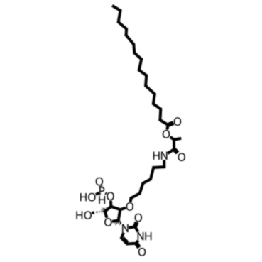 CCCCCCCCCCCCCCCC(=O)OC(C)C(=O)NCCCCCCOC1C(O[PH](=O)O)[C@@H](CO)O[C@H]1n1ccc(=O)[nH]c1=O